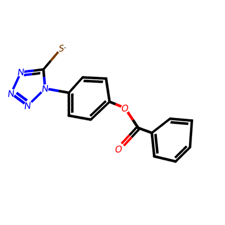 O=C(Oc1ccc(-n2nnnc2[S])cc1)c1ccccc1